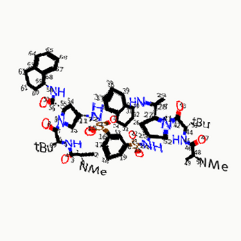 CN[C@@H](C)C(=O)N[C@H](C(=O)N1C[C@@H](NS(=O)(=O)c2cccc(S(=O)(=O)N[C@H]3C[C@@H](C(C)N[C@@H]4CCCc5ccccc54)N(C(=O)[C@@H](NC(=O)[C@H](C)NC)C(C)(C)C)C3)c2)C[C@H]1C(=O)N[C@@H]1CCCc2ccccc21)C(C)(C)C